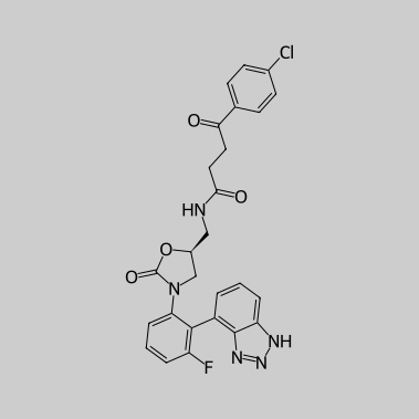 O=C(CCC(=O)c1ccc(Cl)cc1)NC[C@H]1CN(c2cccc(F)c2-c2cccc3[nH]nnc23)C(=O)O1